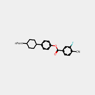 CCCCCC1CCC(c2ccc(OC(=O)c3ccc(C#N)c(F)c3)cc2)CC1